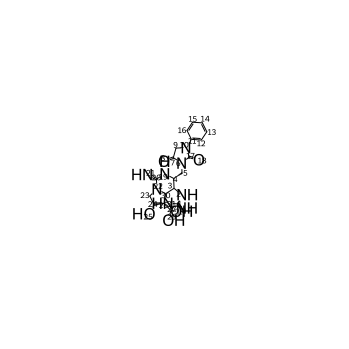 N=C1NC2[C@H](CN3C(=O)CN(c4ccccc4)C3=O)NC(=N)N3C[C@H](O)C(C(O)O)C23N1